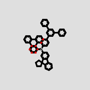 c1ccc(-c2cc(-c3ccccc3)cc(-c3ccc(N(c4ccc5c(c4)C4(CCCC4)c4ccccc4-5)c4ccccc4-c4ccccc4-c4ccccc4-c4ccccc4)cc3)c2)cc1